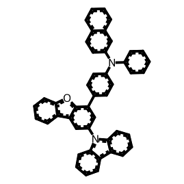 c1ccc(N(c2ccc(-c3cc(-n4c5ccccc5c5ccccc54)cc4c3oc3ccccc34)cc2)c2ccc3ccccc3c2)cc1